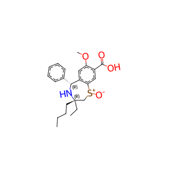 CCCC[C@]1(CC)C[S+]([O-])c2cc(C(=O)O)c(OC)cc2[C@@H](c2ccccc2)N1